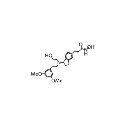 COc1cc(CCN(CCO)C2CCc3cc(C=CC(=O)NO)ccc32)cc(OC)c1